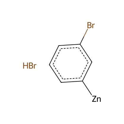 Br.[Zn][c]1cccc(Br)c1